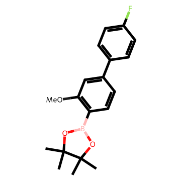 COc1cc(-c2ccc(F)cc2)ccc1B1OC(C)(C)C(C)(C)O1